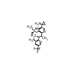 C=C(c1ncc(C2(N)CC2)cc1CS(=N)(=O)CC)N(C)c1ncc(C(F)(F)F)cc1N